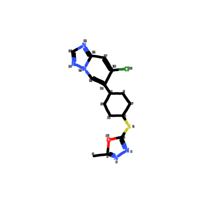 Cc1nnc(SC2CCC(c3cn4ncnc4cc3Cl)CC2)o1